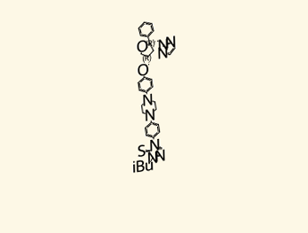 CCC(C)n1ncn(-c2ccc(N3CCN(c4ccc(OC[C@@H]5CO[C@@](Cn6nccn6)(c6ccccc6)C5)cc4)CC3)cc2)c1=S